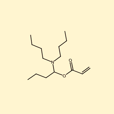 C=CC(=O)OC(CCC)N(CCCC)CCCC